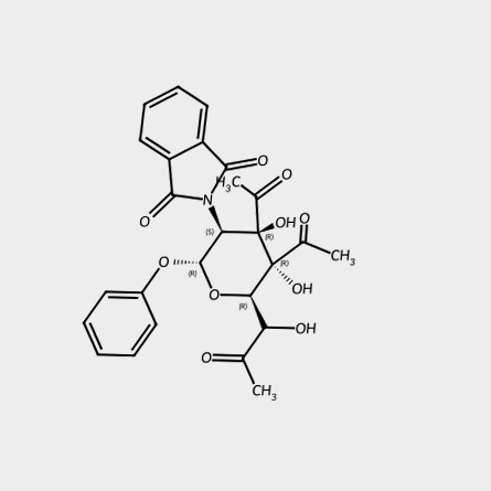 CC(=O)C(O)[C@H]1O[C@H](Oc2ccccc2)[C@@H](N2C(=O)c3ccccc3C2=O)[C@](O)(C(C)=O)[C@@]1(O)C(C)=O